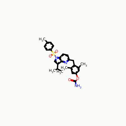 Cc1ccc(S(=O)(=O)n2cc(C(C)C)c3nc(Cc4c(C)cc(OC(N)=O)cc4C)ccc32)cc1